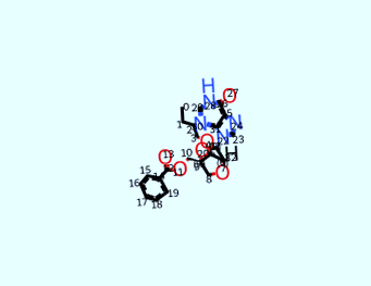 CCCCOC1[C@@H]2OC[C@]1(COC(=O)c1ccccc1)O[C@H]2n1cnc2c(=O)[nH]cnc21